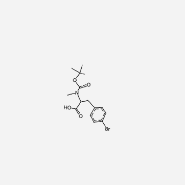 CN(C(=O)OC(C)(C)C)C(Cc1ccc(Br)cc1)C(=O)O